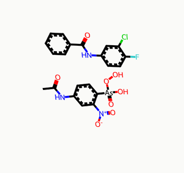 CC(=O)Nc1ccc([As](=O)(O)OO)c([N+](=O)[O-])c1.O=C(Nc1ccc(F)c(Cl)c1)c1ccccc1